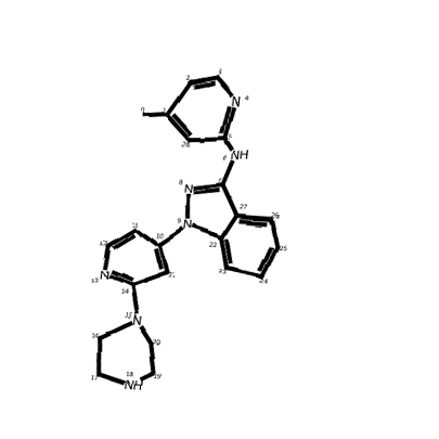 Cc1ccnc(Nc2nn(-c3ccnc(N4CCNCC4)c3)c3ccccc23)c1